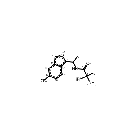 CC(NC(=O)C(C)(N)C(C)C)c1occ2cc(Cl)ccc12